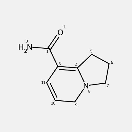 NC(=O)C1=C2CCCN2CC=C1